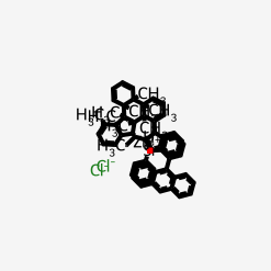 CCCC1=Cc2c(-c3c4ccccc4cc4ccccc34)cccc2C1C1=CC=CC2(C)C3(C)C=CC=CC3(C)C3(C)C4(C)C(C)=CC=CC4[CH]([Zr+2][SiH](c4ccccc4)c4ccccc4)C3(C)C12C.[Cl-].[Cl-]